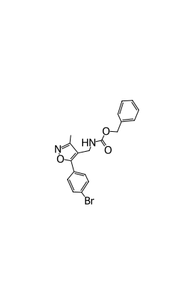 Cc1noc(-c2ccc(Br)cc2)c1CNC(=O)OCc1ccccc1